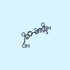 O=C1NC(=S)N/C1=C\c1ccc(-c2ccc3c(c2)CN(CCCO)C3=O)s1